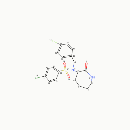 O=C1NCCCCC1N(Cc1ccc(F)cc1)S(=O)(=O)c1ccc(Cl)cc1